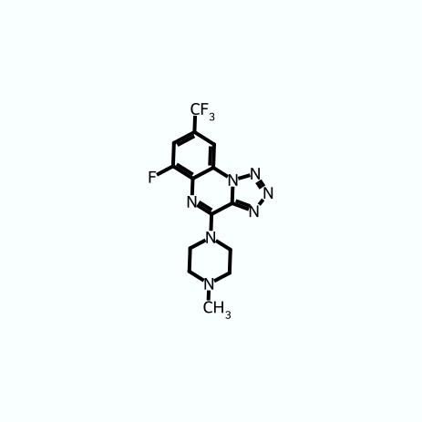 CN1CCN(c2nc3c(F)cc(C(F)(F)F)cc3n3nnnc23)CC1